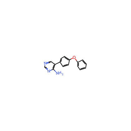 Nc1ncn[c]c1-c1ccc(Oc2ccccc2)cc1